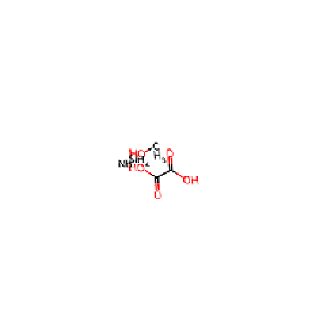 CO.O=C(O)C(=O)O.[Nb].[SiH4]